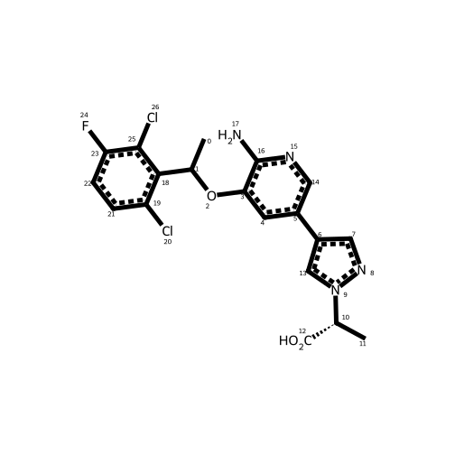 CC(Oc1cc(-c2cnn([C@H](C)C(=O)O)c2)cnc1N)c1c(Cl)ccc(F)c1Cl